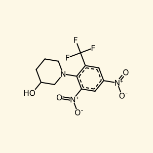 O=[N+]([O-])c1cc([N+](=O)[O-])c(N2CCCC(O)C2)c(C(F)(F)F)c1